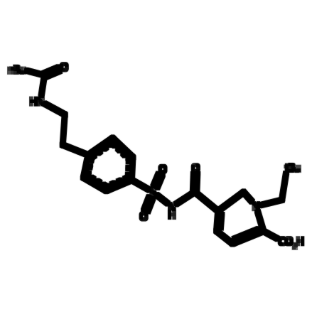 CCCCC(=O)NCCc1ccc(S(=O)(=O)NC(=O)C2=CC=C(C(=O)O)N(CC(C)(C)C)C2)cc1